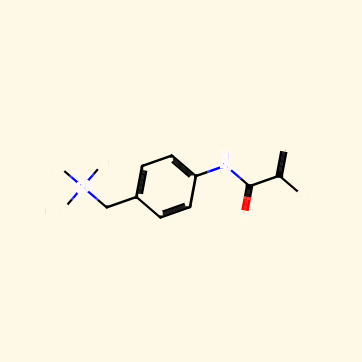 C=C(C)C(=O)Nc1ccc(C[N+](C)(C)C)cc1